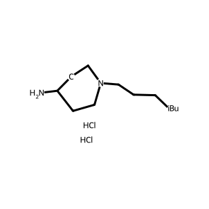 CCC(C)CCCN1CCC(N)CC1.Cl.Cl